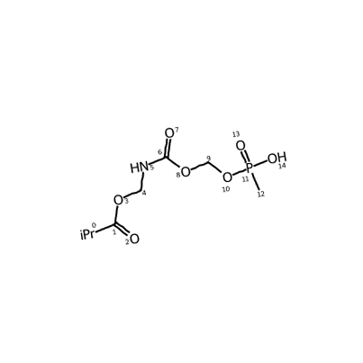 CC(C)C(=O)OCNC(=O)OCOP(C)(=O)O